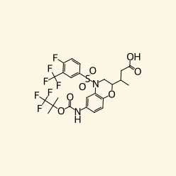 CC(CC(=O)O)C1CN(S(=O)(=O)c2ccc(F)c(C(F)(F)F)c2)c2cc(NC(=O)OC(C)(C)C(F)(F)F)ccc2O1